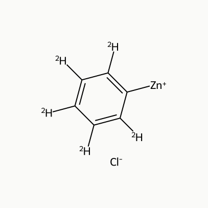 [2H]c1c([2H])c([2H])[c]([Zn+])c([2H])c1[2H].[Cl-]